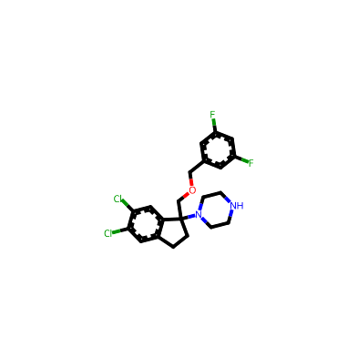 Fc1cc(F)cc(COCC2(N3CCNCC3)CCc3cc(Cl)c(Cl)cc32)c1